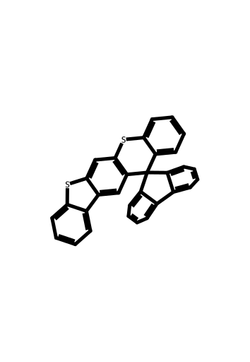 c1ccc2c(c1)Sc1cc3sc4ccccc4c3cc1C21c2ccccc2-c2ccccc21